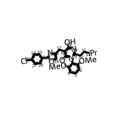 COc1cccc(OC)c1-n1c(CCC(C)C)nc(O)c(Cc2coc(-c3ccc(Cl)cc3)n2)c1=O